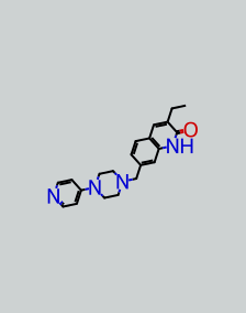 CCc1cc2ccc(CN3CCN(c4ccncc4)CC3)cc2[nH]c1=O